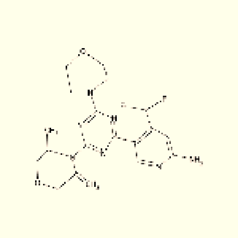 C=C1COCC(C)N1c1nc(-c2cnc(N)cc2C(F)F)nc(N2CCOCC2)n1